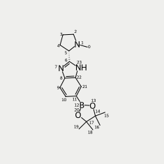 CN1CCC[C@H]1c1nc2ccc(B3OC(C)(C)C(C)(C)O3)cc2[nH]1